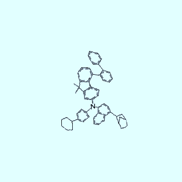 CC1(C)c2cc(N(c3ccc(C4CCCCC4)cc3)c3ccc(C4CC5CCC4C5)c4ccccc34)ccc2-c2c(-c3ccccc3-c3ccccc3)cccc21